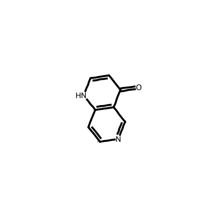 O=c1cc[nH]c2c[c]ncc12